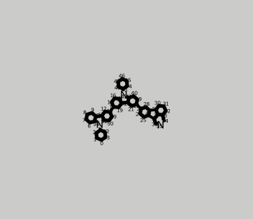 c1ccc(-n2c3ccccc3c3cc(-c4ccc5c(c4)c4cc(-c6ccc7c(c6)-c6cccc8cncc-7c68)ccc4n5-c4ccccc4)ccc32)cc1